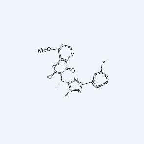 COc1ccnc2c(=O)n([C@@H](C)c3nc(-c4cccc(C(C)C)c4)nn3C)c(=O)oc12